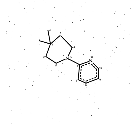 CC1(C)CCN(c2[c]cccn2)CC1